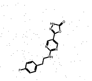 O=c1[nH]nc(-c2cnc(NCCc3ccc(F)cc3)nc2)o1